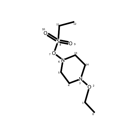 CCON1CCN(OS(=O)(=O)CC)CC1